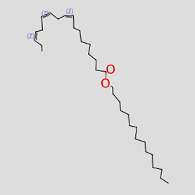 CC/C=C\C/C=C\C/C=C\CCCCCCCC(=O)OCCCCCCCCCCCCCCC